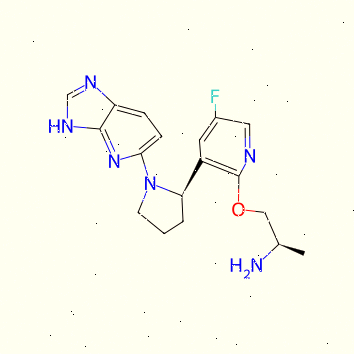 C[C@@H](N)COc1ncc(F)cc1[C@H]1CCCN1c1ccc2nc[nH]c2n1